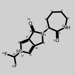 O=C1NCCCC[C@@H]1N1CC2=C[SH](C(F)F)C=C2C1=O